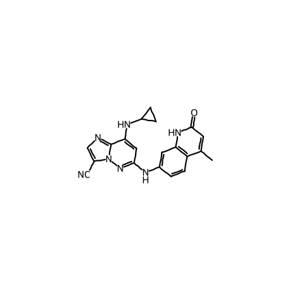 Cc1cc(=O)[nH]c2cc(Nc3cc(NC4CC4)c4ncc(C#N)n4n3)ccc12